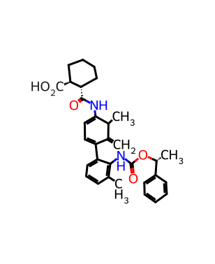 C=C1C(c2cccc(C)c2NC(=O)O[C@H](C)c2ccccc2)=CC=C(NC(=O)[C@H]2CCCC[C@@H]2C(=O)O)C1C